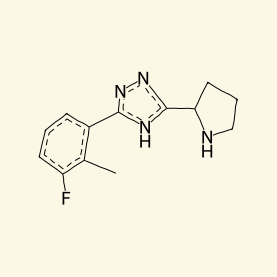 Cc1c(F)cccc1-c1nnc(C2CCCN2)[nH]1